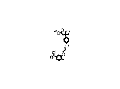 CCOC(=O)CC1(c2ccc(OCCCOc3cc([SH](=O)=O)ccc3C)cc2)COC1